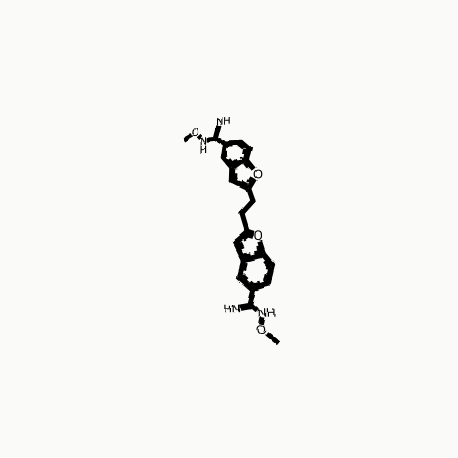 CONC(=N)c1ccc2oc(CCc3cc4cc(C(=N)NOC)ccc4o3)cc2c1